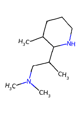 CC1CCCNC1C(C)CN(C)C